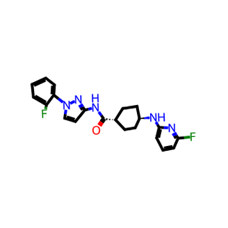 O=C(Nc1ccn(-c2ccccc2F)n1)[C@H]1CC[C@H](Nc2cccc(F)n2)CC1